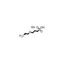 C=CCOCCCS(=O)(=O)O.[KH]